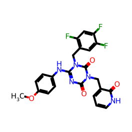 COc1ccc(Nc2nc(=O)n(Cc3ccc[nH]c3=O)c(=O)n2Cc2cc(F)c(F)cc2F)cc1